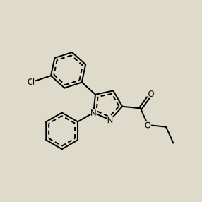 CCOC(=O)c1cc(-c2cccc(Cl)c2)n(-c2ccccc2)n1